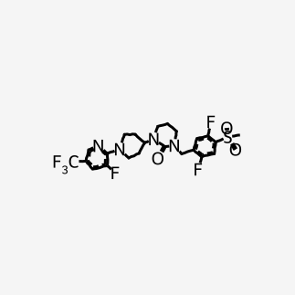 CS(=O)(=O)c1cc(F)c(CN2CCCN(C3CCN(c4ncc(C(F)(F)F)cc4F)CC3)C2=O)cc1F